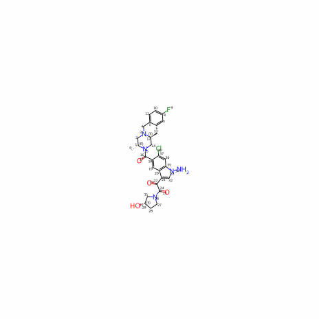 C[C@@H]1CN(Cc2ccc(F)cc2)[C@@H](C)CN1C(=O)c1cc2c(C(=O)C(=O)N3CC[C@H](O)C3)cn(N)c2cc1Cl